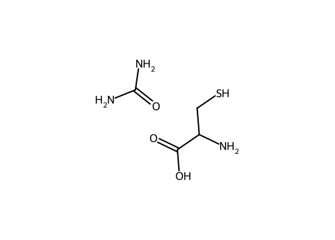 NC(CS)C(=O)O.NC(N)=O